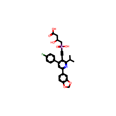 CC(C)c1nc(-c2ccc3c(c2)OCO3)cc(-c2ccc(F)cc2)c1C#CP(=O)(O)CC(O)CC(=O)O